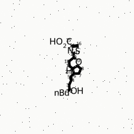 CCCCC(O)C/C=C/C1CCC2OC(c3nc(C(=O)O)cs3)CC[C@H]12